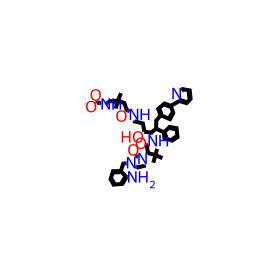 COC(=O)NCC(C)(C)CC(=O)NCCC(O)C(NC(=O)C(N1CCN(Cc2ccccc2N)C1=O)C(C)(C)C)C(Cc1ccc(-c2ccccn2)cc1)c1ccccc1